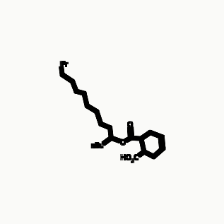 CCCCC(CCCCCCCCC(C)C)OC(=O)C1CC=CCC1C(=O)O